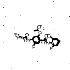 CCNC(=O)Nc1cc(O[C@@H](C)C(F)(F)F)c(C(=O)Nc2c(F)cccc2Cl)cc1F